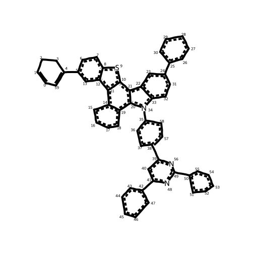 C1=CCCC(c2ccc3sc4c(c3c2)c2ccccc2c2c4c3cc(-c4ccccc4)ccc3n2-c2ccc(-c3cc(-c4ccccc4)nc(-c4ccccc4)n3)cc2)=C1